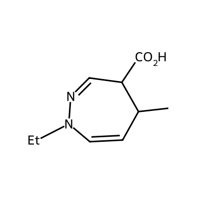 CCN1C=CC(C)C(C(=O)O)C=N1